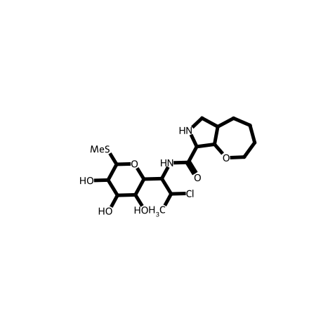 CSC1OC(C(NC(=O)C2NCC3CCCCOC32)C(C)Cl)C(O)C(O)C1O